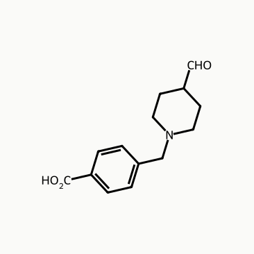 O=CC1CCN(Cc2ccc(C(=O)O)cc2)CC1